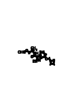 CCc1nc2c(OCC3CCC3)cccn2c1C(=O)N[C@@H](C)COC=O